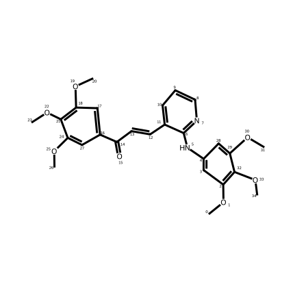 COc1cc(Nc2ncccc2C=CC(=O)c2cc(OC)c(OC)c(OC)c2)cc(OC)c1OC